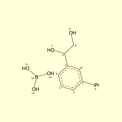 CC(C)c1cccc(C(O)CO)c1.OB(O)O